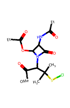 CCC(=O)NC1C(=O)N(C(C(=O)OC)C(C)(C)SCl)C1OC(=O)CC